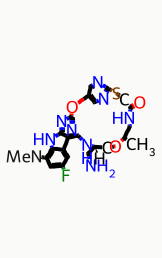 CNc1cc(F)cc2c1[nH]c1nc3nc(c12)N[C@H](CN)COC(C)CNC(=O)CSc1ncc(cn1)O3